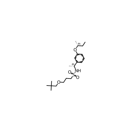 CC[C@@H](C)Oc1cccc([C@@H](C)NS(=O)(=O)CCCOCC(C)(C)C)c1